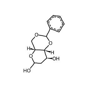 OC1C[C@H](O)[C@H]2OC(c3ccccc3)OC[C@H]2O1